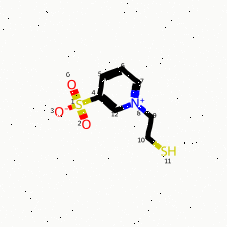 O=S(=O)([O-])c1ccc[n+](CCS)c1